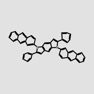 c1ccc(-c2cc3cc4c(cc(-c5ccccc5)n4-c4ccc5cc6ccccc6cc5c4)cc3n2-c2ccc3cc4ccccc4cc3c2)cc1